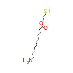 NCCCCCCCCCCC(=O)OCCCS